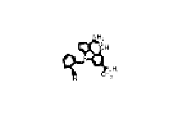 CC(C)c1cc(O)c2c3c(C(N)=O)cccc3n(Cc3ccccc3C#N)c2c1